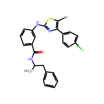 CCc1sc(Nc2cccc(C(=O)NC(Cc3ccccc3)C(=O)O)c2)nc1-c1ccc(Cl)cc1